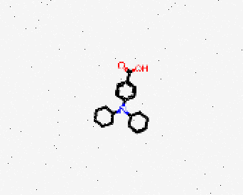 O=C(O)c1ccc(N(C2CCCCC2)C2CCCCC2)cc1